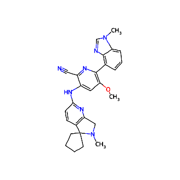 COc1cc(Nc2ccc3c(n2)CN(C)C32CCCC2)c(C#N)nc1-c1cccc2c1ncn2C